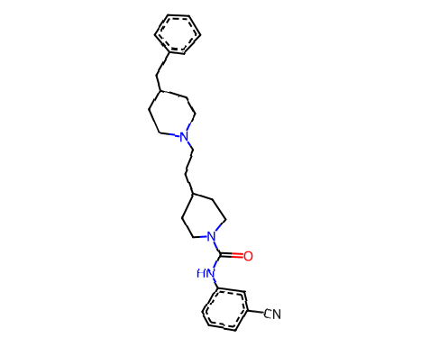 N#Cc1cccc(NC(=O)N2CCC(CCN3CCC(Cc4ccccc4)CC3)CC2)c1